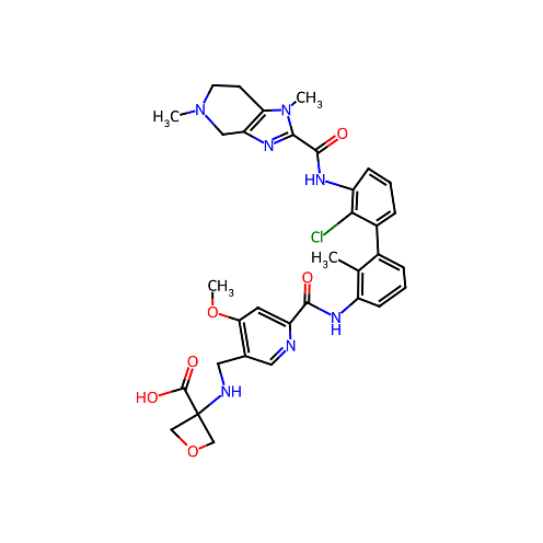 COc1cc(C(=O)Nc2cccc(-c3cccc(NC(=O)c4nc5c(n4C)CCN(C)C5)c3Cl)c2C)ncc1CNC1(C(=O)O)COC1